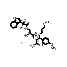 COCCCOC(c1ccc(OC)cc1)[C@@H](C[C@H](N)[C@@H](O)CNC(=O)C(C)(C)c1c[nH]c2ccccc12)C(C)C.Cl